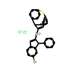 Brc1ccc2c(c1)C(c1ccccc1)[C]([Zr+2][C]1=Cc3c4cccc3C1c1ccc(cc1)S4)=C2.[Cl-].[Cl-]